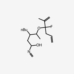 C=CCC(F)(OC(C)C(CCCC)CC(O)N=C)C(=C)C